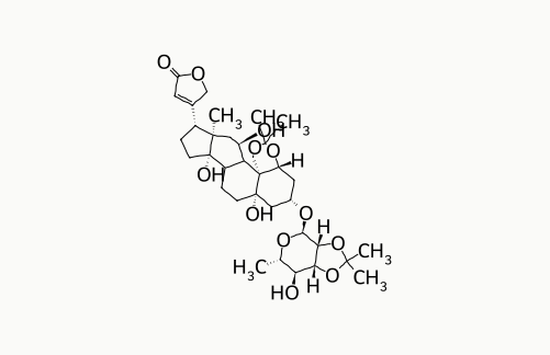 C[C@@H]1O[C@@H](O[C@H]2C[C@H]3OC(C)(C)OC[C@]34C3C(CC[C@]4(O)C2)[C@@]2(O)CC[C@H](C4=CC(=O)OC4)[C@@]2(C)C[C@H]3O)[C@@H]2OC(C)(C)O[C@@H]2[C@H]1O